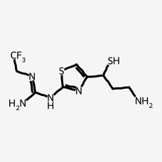 NCCC(S)c1csc(NC(N)=NCC(F)(F)F)n1